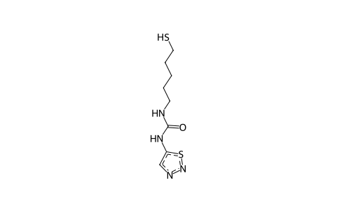 O=C(NCCCCCS)Nc1cnns1